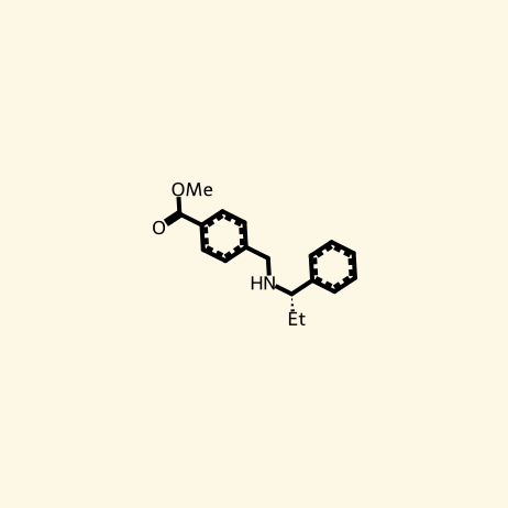 CC[C@H](NCc1ccc(C(=O)OC)cc1)c1ccccc1